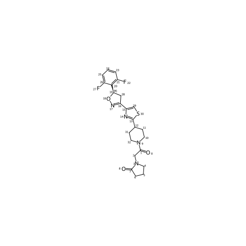 O=C(CN1CCCC1=O)N1CCC(c2nc(C3=NO[C@@H](c4c(F)cccc4F)C3)cs2)CC1